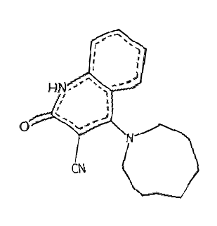 N#Cc1c(N2CCCCCC2)c2ccccc2[nH]c1=O